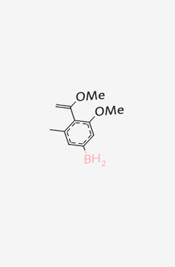 Bc1cc(C)c(C(=C)OC)c(OC)c1